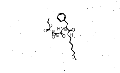 CCOC(=O)[C@H]1O[C@@H]1C(=O)N[C@@H](Cc1ccccc1)C(=O)NCCCCCOC